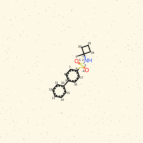 CC1(NS(=O)(=O)c2ccc(-c3ccccc3)cc2)CCC1